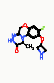 C[C@@H]1C(=O)NN=C2COc3cc(F)c(OC4CNC4)cc3N21